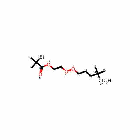 CCC(C)(C)C(=O)OCCOOCCCC(C)(C)C(=O)O